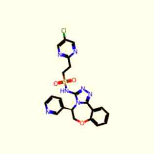 O=S(=O)(CCc1ncc(Cl)cn1)Nc1nnc2n1[C@H](c1cccnc1)COc1ccccc1-2